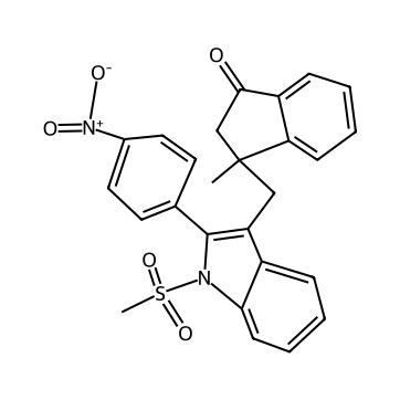 CC1(Cc2c(-c3ccc([N+](=O)[O-])cc3)n(S(C)(=O)=O)c3ccccc23)CC(=O)c2ccccc21